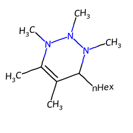 CCCCCCC1C(C)=C(C)N(C)N(C)N1C